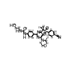 C[C@H]1COCCN1c1cc(C2(S(=O)(=O)c3ccc(C#N)cc3)CC2)nc(-c2ccc(NC(=O)NCCO)cc2)n1